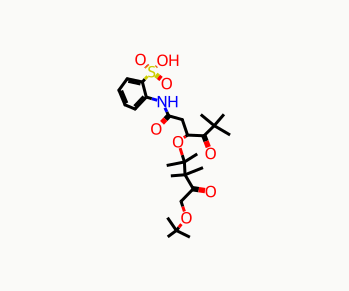 CC(C)(C)OCC(=O)C(C)(C)C(C)(C)OC(CC(=O)Nc1ccccc1S(=O)(=O)O)C(=O)C(C)(C)C